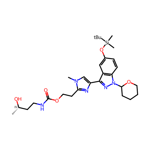 C[C@H](O)CCNC(=O)OCCc1nc(-c2nn(C3CCCCO3)c3ccc(O[Si](C)(C)C(C)(C)C)cc23)cn1C